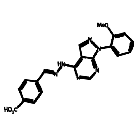 COc1ccccc1-n1ncc2c(N/N=C/c3ccc(C(=O)O)cc3)ncnc21